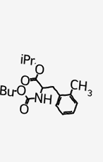 Cc1ccccc1CC(NC(=O)OC(C)(C)C)C(=O)OC(C)C